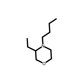 CCCCN1CCOCC1CC